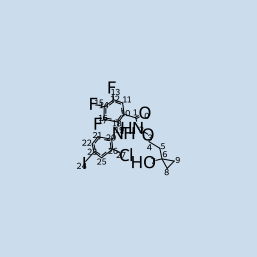 O=C(NOCCC1(O)CC1)c1cc(F)c(F)c(F)c1Nc1ccc(I)cc1Cl